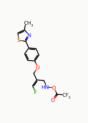 Cc1csc(-c2ccc(OCC(=CF)CNOC(=O)C(F)(F)F)cc2)n1